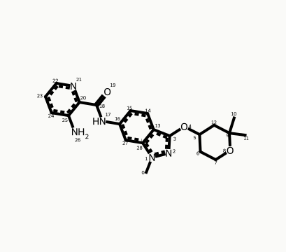 Cn1nc(OC2CCOC(C)(C)C2)c2ccc(NC(=O)c3ncccc3N)cc21